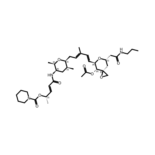 CCCNC(=O)C[C@@H]1C[C@@]2(CO2)[C@H](OC(C)=O)[C@@H](C=CC(C)=CC[C@@H]2O[C@H](C)[C@H](NC(=O)C=C[C@H](C)OC(=O)N3CCCCC3)C[C@@H]2C)O1